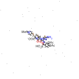 CN[n+]1ccc(SCC2=C(C(=O)[O-])N3C(=O)[C@@H](NC(=O)/C(=N\O[C@@H](C(=O)O)c4ccc(OC(C)=O)c(OC(C)=O)c4)c4csc(N)n4)[C@H]3SC2)cc1